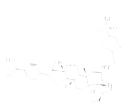 C=C(C)[C@@H]1CC[C@]2(CNCc3ccc(S(N)(=O)=O)cc3)CC[C@]3(C)[C@H](CC[C@@H]4[C@@]5(C)CC=C(c6ccc(C(=O)O)cc6)C(C)(C)[C@@H]5CC[C@]43C)[C@@H]12